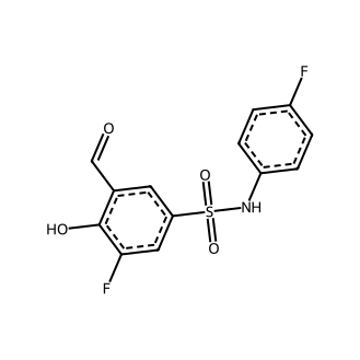 O=Cc1cc(S(=O)(=O)Nc2ccc(F)cc2)cc(F)c1O